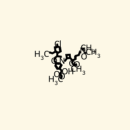 CCCc1cc(Cl)ccc1C1COc2ccc(C(O)C(=O)OC)cc2N(CC2CCC2C(/C=C/CCN(C)C(C)=O)OC(C)=O)C1